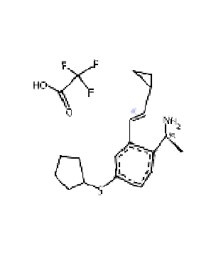 C[C@H](N)c1ccc(SC2CCCC2)cc1/C=C/C1CC1.O=C(O)C(F)(F)F